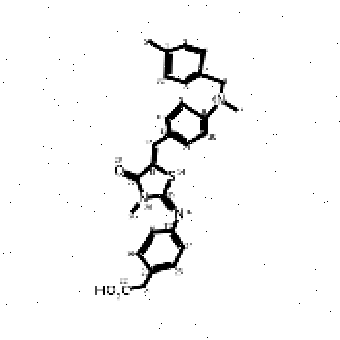 Cc1ccc(CN(C)c2ccc(/C=C3\S/C(=N/c4ccc(CC(=O)O)cc4)N(C)C3=O)cc2)cc1